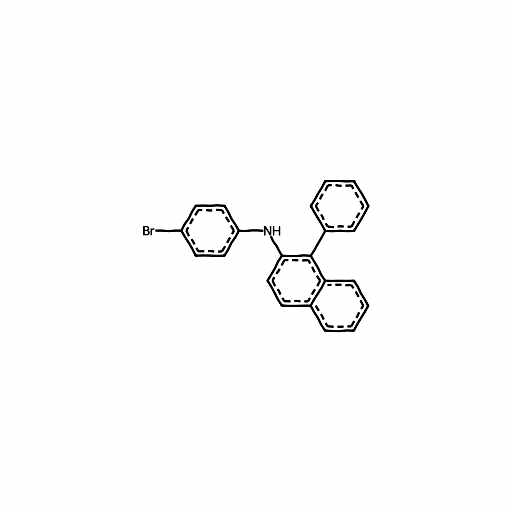 Brc1ccc(Nc2ccc3ccccc3c2-c2ccccc2)cc1